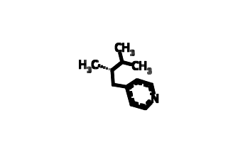 CC(C)[C@@H](C)Cc1ccncc1